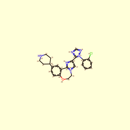 Clc1ccccc1-n1ncnc1-c1cn2c(n1)-c1cc(C3CCNCC3)ccc1OCC2